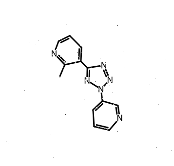 Cc1ncccc1-c1nnn(-c2cccnc2)n1